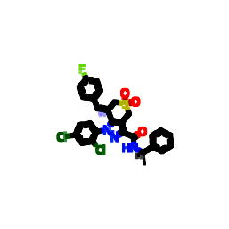 C[C@H](NC(=O)c1nn(-c2ccc(Cl)cc2Cl)c2c1CS(=O)(=O)C/C2=C\c1ccc(F)cc1)c1ccccc1